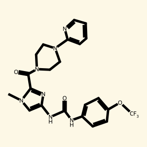 Cn1cc(NC(=O)Nc2ccc(OC(F)(F)F)cc2)nc1C(=O)N1CCN(c2ccccn2)CC1